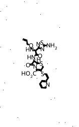 C=CCONC(C(=O)NC1C(=O)N2C(C(=O)O)=C(S/C=C\c3ccccn3)CS[C@@H]12)c1nsc(N)n1